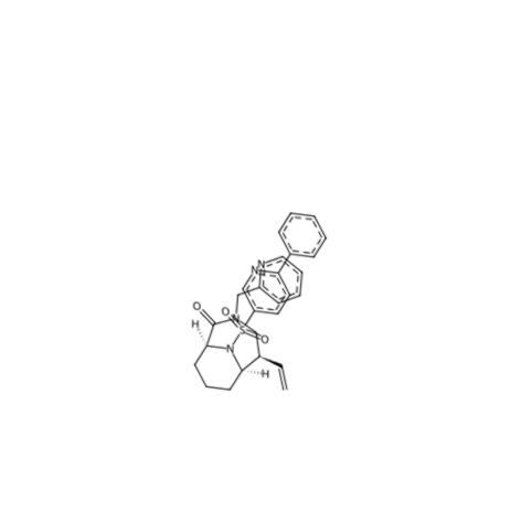 C=C[C@@H]1CN(Cc2ccccn2)C(=O)[C@@H]2CCC[C@H]1N2S(=O)(=O)c1ccc(-c2ccccc2)nc1